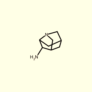 NC1C2CC3CC1N(C3)C2